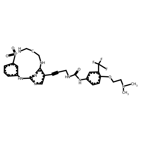 CN(C)CCOc1ccc(NC(=O)NCC#Cc2cnc3nc2NCCCNS(=O)(=O)c2cccc(c2)N3)cc1C(F)(F)F